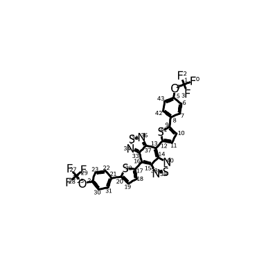 FC(F)(F)Oc1ccc(-c2ccc(-c3c4c(c(-c5ccc(-c6ccc(OC(F)(F)F)cc6)s5)c5nsnc35)N=S=N4)s2)cc1